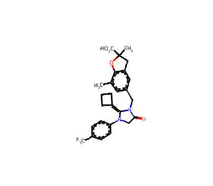 Cc1cc(CN2C(=O)CN(c3ccc(C(F)(F)F)cc3)C2=C2CCC2)cc2c1OC(C)(C(=O)O)C2